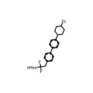 CCCCCCC(F)(F)Cc1ccc(-c2ccc(C3CCC(CC)CC3)cc2)cc1